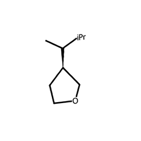 CC(C)C(C)[C@@H]1CCOC1